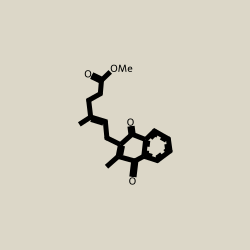 COC(=O)CC/C(C)=C/CC1=C(C)C(=O)c2ccccc2C1=O